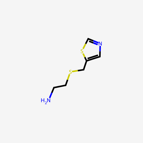 NCCSCc1cncs1